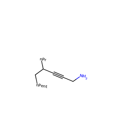 CCCCCCC(C#CCN)CCC